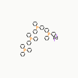 [I][Pd][I].c1ccc(P(c2ccccc2)c2ccccc2)cc1.c1ccc(P(c2ccccc2)c2ccccc2)cc1.c1ccc(P(c2ccccc2)c2ccccc2)cc1.c1ccc(P(c2ccccc2)c2ccccc2)cc1